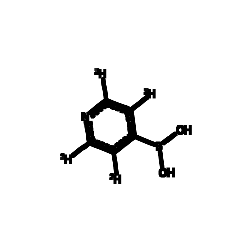 [2H]c1nc([2H])c([2H])c(B(O)O)c1[2H]